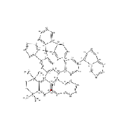 CC1(C)CCC(C)(C)c2c(-c3cc4c(cc3N(c3ccc(-c5cccc6ccccc56)cc3)c3cccc5ccccc35)C3(c5ccccc5-c5ccccc53)c3ccccc3-4)cccc21